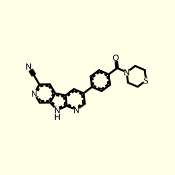 N#Cc1cc2c(cn1)[nH]c1ncc(-c3ccc(C(=O)N4CCSCC4)cc3)cc12